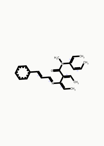 C/C=C\C(=C/C)N(C)C(=O)C(=C/C)/C(=C\C)/N=C/C=C/c1ccccc1